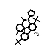 C/[C](c1ccc(C)cc1)=[Zr+2](\[C]1=CC=CC1)[c]1c(C(C)(C)C)ccc2c1Cc1cc(C(C)(C)C)ccc1-2.[Cl-].[Cl-]